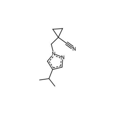 CC(C)c1cnn(CC2(C#N)CC2)c1